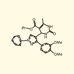 COc1ccc(-c2nn(-c3ccccc3)cc2C2NC(=O)NC(C)=C2C(=O)OC(C)C)cc1OC